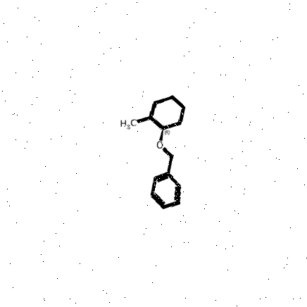 CC1CCCC[C@H]1OCc1ccccc1